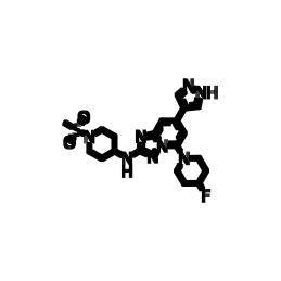 CS(=O)(=O)N1CCC(Nc2nc3cc(-c4cn[nH]c4)cc(N4CCC(F)CC4)n3n2)CC1